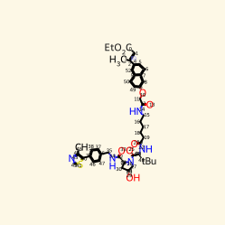 CCOC(=O)/C=C(\C)c1ccc2cc(OCC(=O)NCCCCCC(=O)N[C@H](C(=O)N3C[C@H](O)C[C@H]3C(=O)NCc3ccc(-c4scnc4C)cc3)C(C)(C)C)ccc2c1